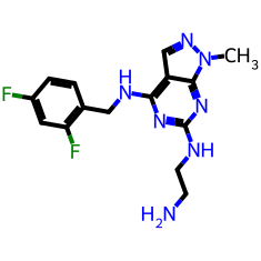 Cn1ncc2c(NCc3ccc(F)cc3F)nc(NCCN)nc21